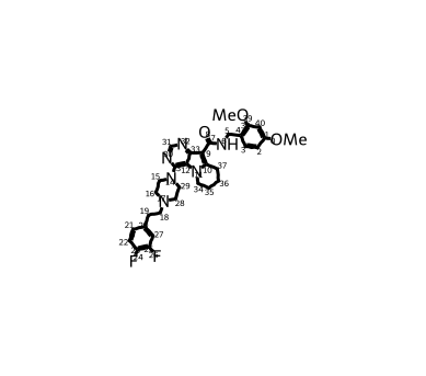 COc1ccc(CNC(=O)c2c3n(c4c(N5CCN(CCc6ccc(F)c(F)c6)CC5)ncnc24)CCCC3)c(OC)c1